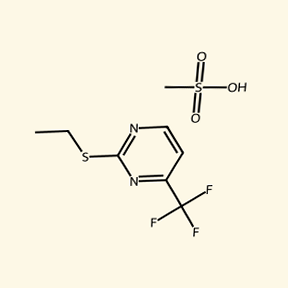 CCSc1nccc(C(F)(F)F)n1.CS(=O)(=O)O